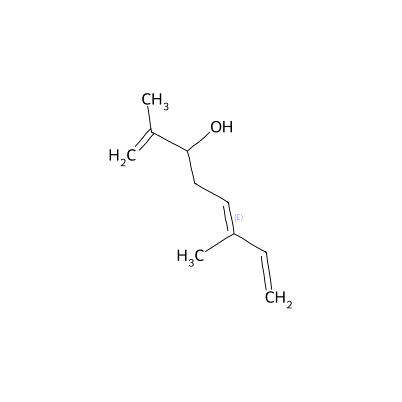 C=C/C(C)=C/CC(O)C(=C)C